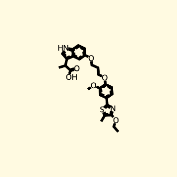 CCOc1nc(-c2ccc(OCCCOc3ccc4[nH]cc(C(C)C(=O)O)c4c3)c(OC)c2)sc1C